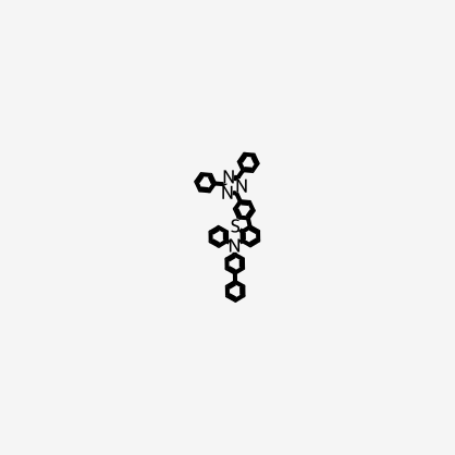 c1ccc(-c2ccc(N(c3ccccc3)c3cccc4c3sc3cc(-c5nc(-c6ccccc6)nc(-c6ccccc6)n5)ccc34)cc2)cc1